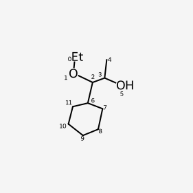 CCOC(C(C)O)C1CCCCC1